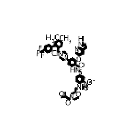 CC1(C)CCC(CN2CCN(c3ccc(C(=O)NSc4ccc(NCC5CN(C(=O)C6COC6)CCO5)c([N+](=O)[O-])c4)c(Oc4cnc5[nH]ccc5c4)c3)CC2)=C(c2ccc(C(F)(F)F)cc2Cl)C1